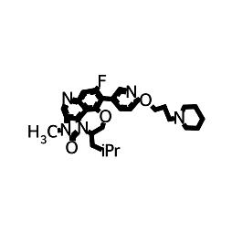 CC(C)CC1COc2c(-c3ccc(OCCCN4CCCCC4)nc3)c(F)cc3ncc4c(c23)n1c(=O)n4C